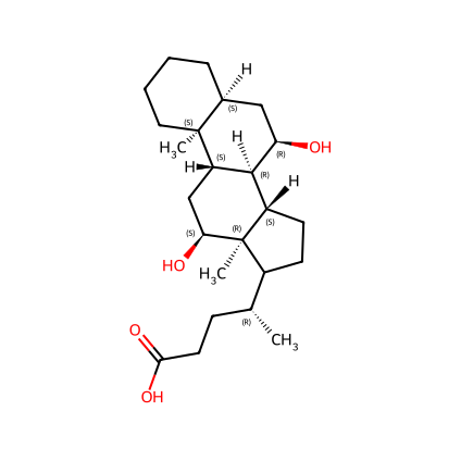 C[C@H](CCC(=O)O)C1CC[C@H]2[C@@H]3[C@H](O)C[C@@H]4CCCC[C@]4(C)[C@H]3C[C@H](O)[C@]12C